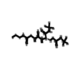 CCCOC(=O)CNC(=O)N[C@@H](CCC(=O)OC(C)(C)C)C(=O)OC(C)(C)C